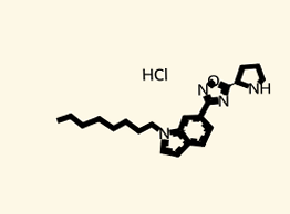 CCCCCCCCn1ccc2ccc(-c3noc([C@@H]4CCCN4)n3)cc21.Cl